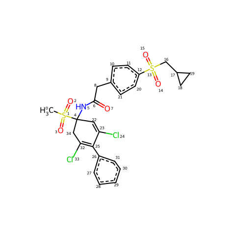 CS(=O)(=O)C1(NC(=O)Cc2ccc(S(=O)(=O)CC3CC3)cc2)C=C(Cl)C(c2ccccc2)=C(Cl)C1